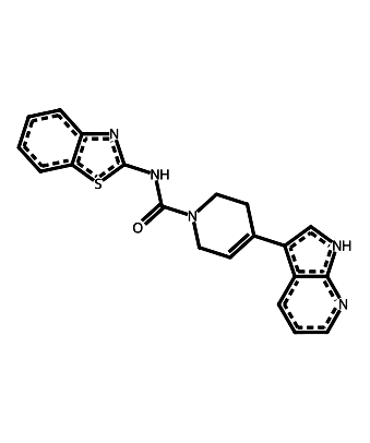 O=C(Nc1nc2ccccc2s1)N1CC=C(c2c[nH]c3ncccc23)CC1